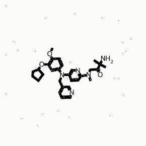 COc1ccc(N(Cc2cccnc2)c2ccc(N(C)CC(=O)C(C)(C)N)nc2)cc1OC1CCCC1